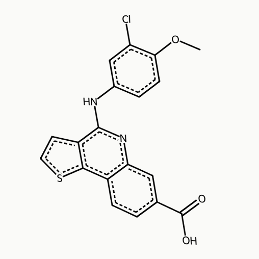 COc1ccc(Nc2nc3cc(C(=O)O)ccc3c3sccc23)cc1Cl